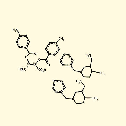 CC1CCN(Cc2ccccc2)CC1CN.CC1CCN(Cc2ccccc2)CC1CN.Cc1ccc(C(=O)O[C@@H](C(=O)O)[C@@H](OC(=O)c2ccc(C)cc2)C(=O)O)cc1